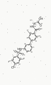 Cc1cc(S(=O)(=O)Nc2cccc(-c3cc(C)c(C(=O)N[C@H](C)C(=O)O)c(C)c3)c2)c(C)cc1Cl